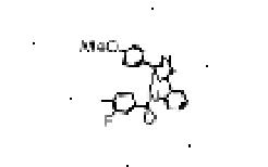 COc1ccc(-c2ncc3n2CN(C(=O)c2ccc(C)c(F)c2)c2ccccc2-3)cc1